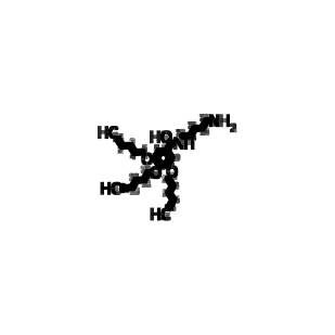 C#CCCCCOc1cc(C(O)NCCCCCN)cc(OCCCCC#C)c1OCCCCC#C